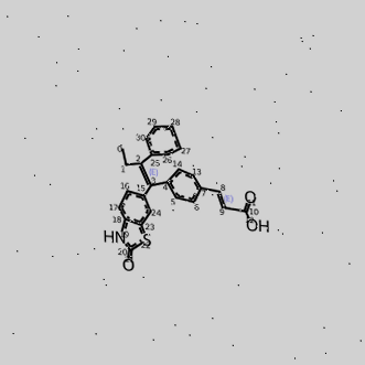 CC/C(=C(/c1ccc(/C=C/C(=O)O)cc1)c1ccc2[nH]c(=O)sc2c1)c1ccccc1